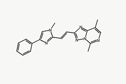 Cc1cnc(C)n2nc(/C=C/c3nc(-c4ccccc4)cn3C)nc12